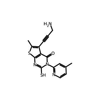 Cc1ccnc(-n2c(S)nc3sc(C)c(C#CCN)c3c2=O)c1